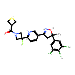 O=C(C1CSC1)N1CC(F)(c2ccc(C3=NOC(c4cc(Cl)c(Cl)c(Cl)c4)(C(F)(F)F)C3)cn2)C1